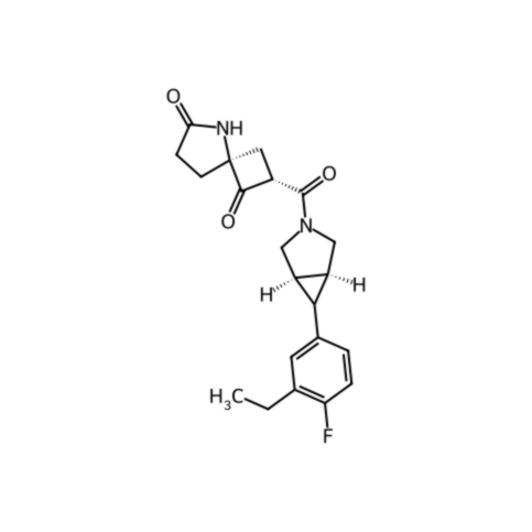 CCc1cc(C2[C@H]3CN(C(=O)[C@H]4C[C@@]5(CCC(=O)N5)C4=O)C[C@@H]23)ccc1F